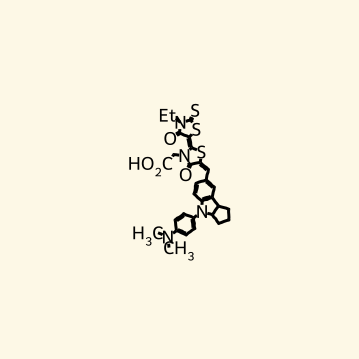 CCN1C(=O)/C(=c2/s/c(=C/c3ccc4c(c3)C3CCCC3N4c3ccc(N(C)C)cc3)c(=O)n2CC(=O)O)SC1=S